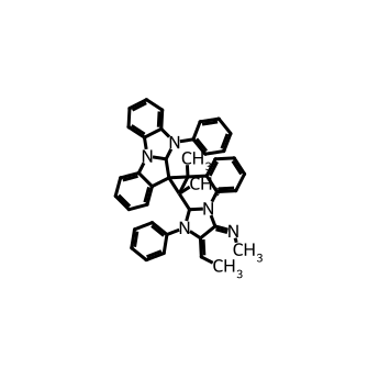 C/C=C1\C(=N/C)N2c3ccccc3C3(C)C(C)(C2N1c1ccccc1)C31c2ccccc2N2c3ccccc3N(c3ccccc3)C21